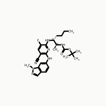 CCCC[C@@H](Nc1nc(Nc2ccc3cnn(C)c3c2)c(C#N)cc1F)[C@H](C)NC(=O)OC(C)(C)C